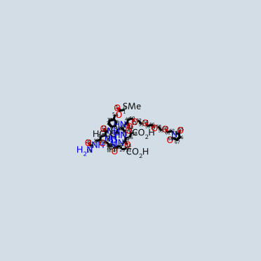 CSCC(=O)OCc1ccc(NC(=O)[C@H](CCCNC(N)=O)NC(=O)[C@@H](NC(=O)[C@H](CCC(=O)O)NC(=O)[C@H](CCC(=O)O)NC(=O)[C@H](CCC(=O)O)NC(=O)CCOCCOCCOCCOCCN2C(=O)C=CC2=O)C(C)C)cc1